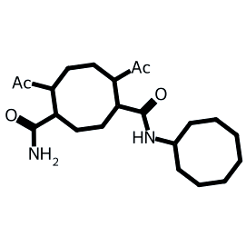 CC(=O)C1CCC(C(C)=O)C(C(=O)NC2CCCCCCC2)CCC1C(N)=O